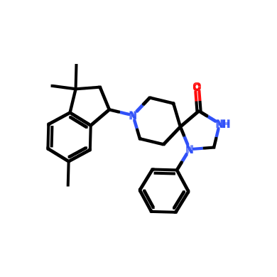 Cc1ccc2c(c1)C(N1CCC3(CC1)C(=O)NCN3c1ccccc1)CC2(C)C